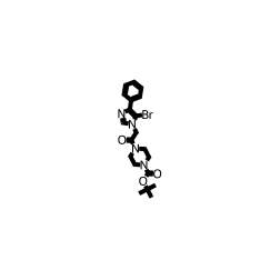 CC(C)(C)OC(=O)N1CCN(C(=O)Cn2cnc(-c3ccccc3)c2Br)CC1